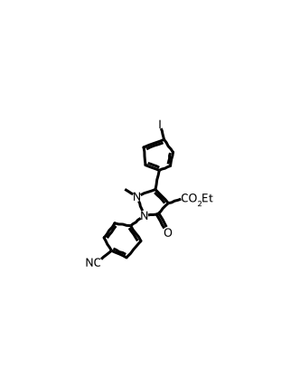 CCOC(=O)c1c(-c2ccc(I)cc2)n(C)n(-c2ccc(C#N)cc2)c1=O